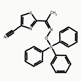 CC(=NO[Si](c1ccccc1)(c1ccccc1)c1ccccc1)c1nc(C#N)cs1